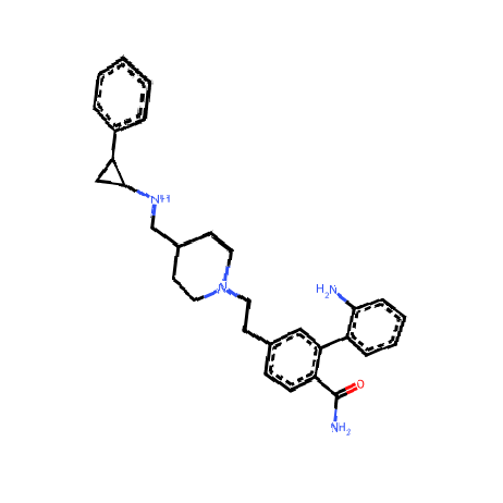 NC(=O)c1ccc(CCN2CCC(CNC3CC3c3ccccc3)CC2)cc1-c1ccccc1N